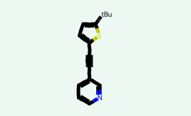 CC(C)(C)c1ccc(C#Cc2cccnc2)s1